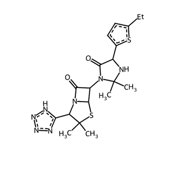 CCc1ccc(C2NC(C)(C)N(C3C(=O)N4C3SC(C)(C)C4c3nnn[nH]3)C2=O)s1